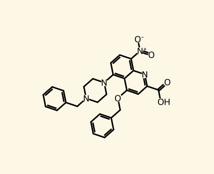 O=C(O)c1cc(OCc2ccccc2)c2c(N3CCN(Cc4ccccc4)CC3)ccc([N+](=O)[O-])c2n1